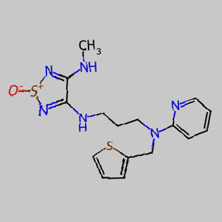 CNc1n[s+]([O-])nc1NCCCN(Cc1cccs1)c1ccccn1